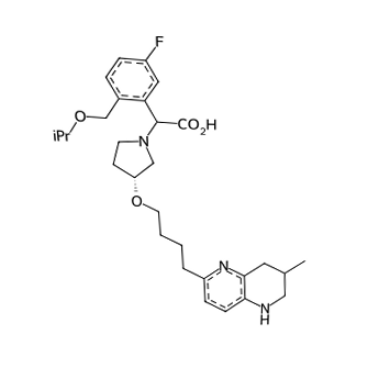 CC1CNc2ccc(CCCCO[C@@H]3CCN(C(C(=O)O)c4cc(F)ccc4COC(C)C)C3)nc2C1